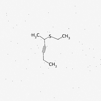 [CH2]C(C#CCC)SCC